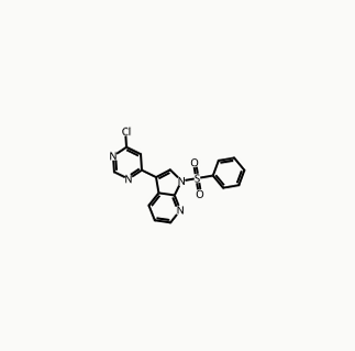 O=S(=O)(c1ccccc1)n1cc(-c2cc(Cl)ncn2)c2cccnc21